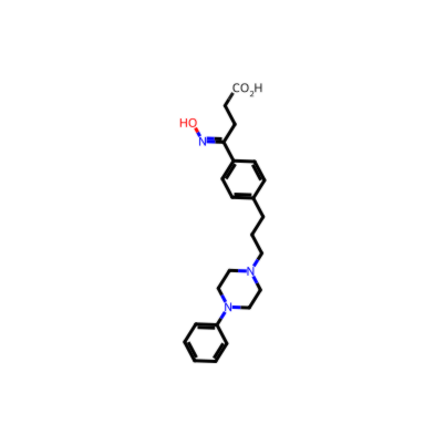 O=C(O)CCC(=NO)c1ccc(CCCN2CCN(c3ccccc3)CC2)cc1